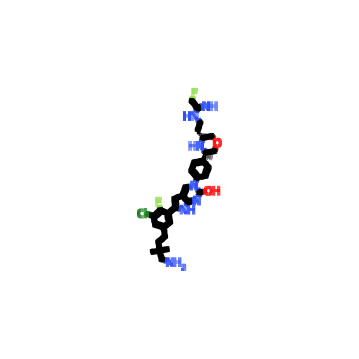 CC(C)(CN)CCc1cc(Cl)c(F)c(-c2cc3c([nH]2)=NC(O)N(c2ccc([C@@H]4COC[C@@H](CCNC(=N)CF)N4)cc2)C=3)c1